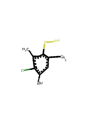 Cc1cc(C(C)(C)C)c(Cl)c(C)c1SS